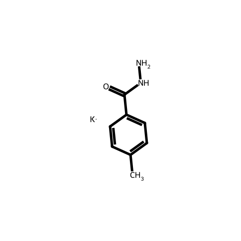 Cc1ccc(C(=O)NN)cc1.[K]